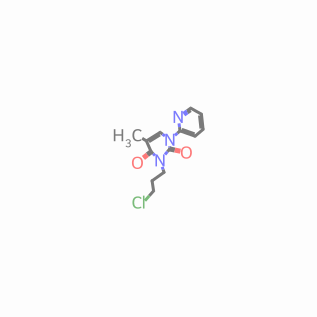 Cc1cn(-c2ccccn2)c(=O)n(CCCCl)c1=O